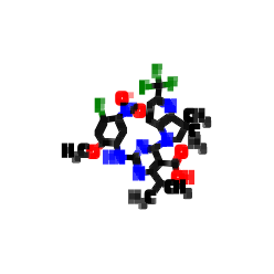 COc1cc(F)c([N+](=O)[O-])cc1Nc1nc(C(C)C)c(C(=O)O)c(N2CC(C)(C)c3nc(C(F)(F)F)ccc32)n1